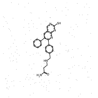 NC(=O)CCNCc1ccc(-c2nc3nc(S)ncc3cc2-c2ccccc2)cc1